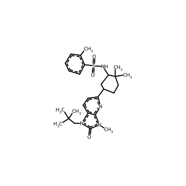 Cc1ccccc1S(=O)(=O)NC1CC(c2ccc3c(n2)n(C)c(=O)n3CC(C)(C)C)CCC1(C)C